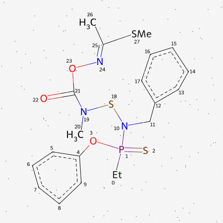 CCP(=S)(Oc1ccccc1)N(Cc1ccccc1)SN(C)C(=O)ON=C(C)SC